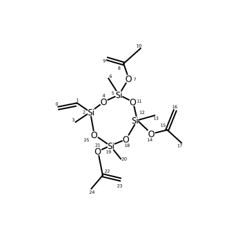 C=C[Si]1(C)O[Si](C)(OC(=C)C)O[Si](C)(OC(=C)C)O[Si](C)(OC(=C)C)O1